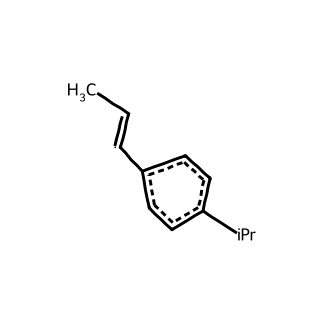 C/C=[C]/c1ccc(C(C)C)cc1